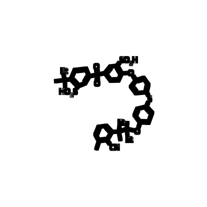 CCC(C)(C)c1ccc(S(=O)(=O)c2ccc(Oc3ccc(Sc4ccc(OC(C)(CC)C(C)(CC)c5cccc(C)c5C#N)cc4)cc3)c(S(=O)(=O)O)c2)cc1S(=O)(=O)O